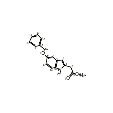 COC(=O)Cc1cc2cc(OCc3ccccc3)ccc2[nH]1